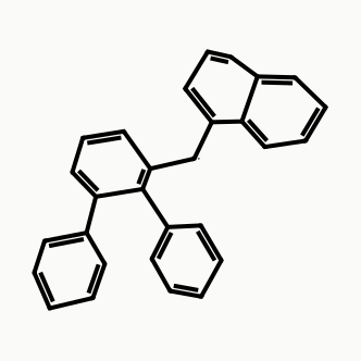 [CH](c1cccc(-c2ccccc2)c1-c1ccccc1)c1cccc2ccccc12